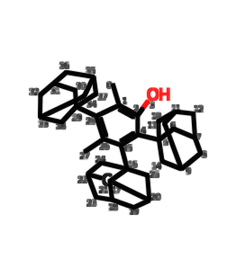 Cc1c(O)c(C23CC4CC(CC(C4)C2)C3)c(C23CC4CC(CC(C4)C2)C3)c(C)c1C12CC3CC(CC(C3)C1)C2